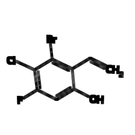 C=Cc1c(O)cc(F)c(Cl)c1Br